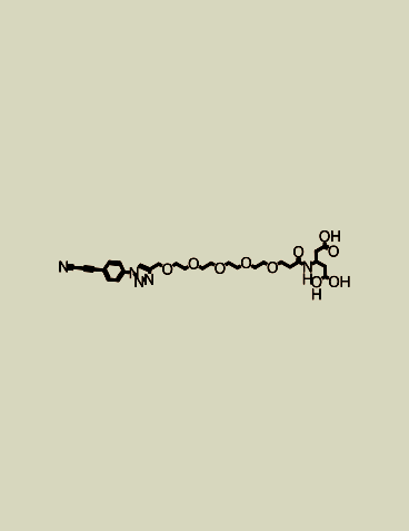 N#CC#Cc1ccc(-n2cc(COCCOCCOCCOCCOCCC(=O)NC(CC(=O)O)CC(O)O)nn2)cc1